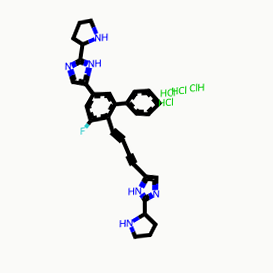 Cl.Cl.Cl.Cl.Fc1cc(-c2cnc(C3CCCN3)[nH]2)cc(-c2ccccc2)c1C#CC#Cc1cnc(C2CCCN2)[nH]1